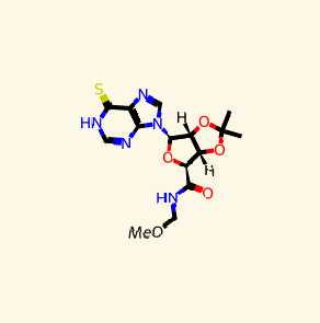 COCNC(=O)[C@H]1O[C@@H](n2cnc3c(=S)[nH]cnc32)[C@@H]2OC(C)(C)O[C@@H]21